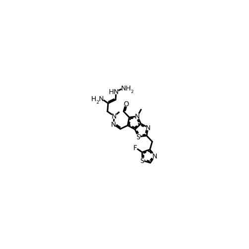 CN(C/C(N)=C/NN)/N=C\c1c(C=O)n(C)c2nc(Cc3ncsc3F)sc12